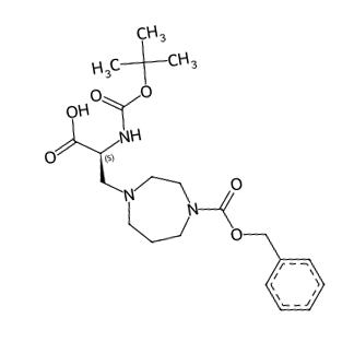 CC(C)(C)OC(=O)N[C@@H](CN1CCCN(C(=O)OCc2ccccc2)CC1)C(=O)O